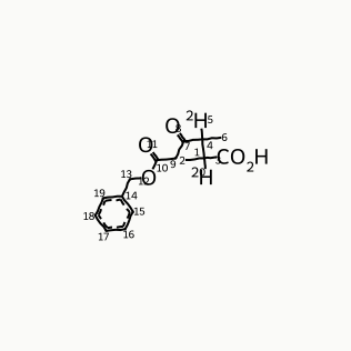 [2H]C(C)(C(=O)O)C([2H])(C)C(=O)CC(=O)OCc1ccccc1